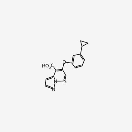 O=C(O)c1c(Oc2cccc(C3CC3)c2)cnn2nccc12